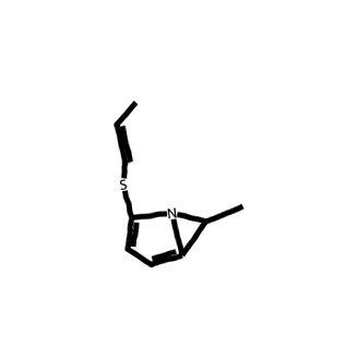 C/C=[C]/Sc1ccc2n1C2C